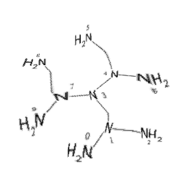 NN(N)N(N(N)N)N(N)N